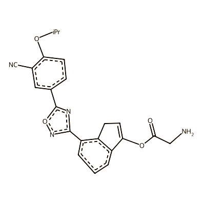 CC(C)Oc1ccc(-c2nc(-c3cccc4c3CC=C4OC(=O)CN)no2)cc1C#N